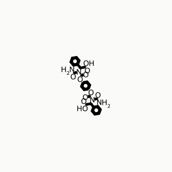 NC(=O)N(C(=O)Oc1ccc(OC(=O)N(C(N)=O)C(C(=O)O)c2ccccc2)cc1)C(C(=O)O)c1ccccc1